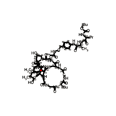 CC[C@H](C)[C@@H]1NC(=O)CNC(=O)C2Cc3c([nH]c4ccccc34)SCC(NC(=O)CNC1=O)C(=O)N[C@@H](CC(=O)NOCc1ccc(NC(=O)[C@H](C)NC(=O)C(NC(=O)OC(C)(C)C)C(C)C)cc1)C(=O)N1C[C@H](O)C[C@H]1C(=O)N[C@@H]([C@@H](C)[C@@H](C)CO)C(=O)N2